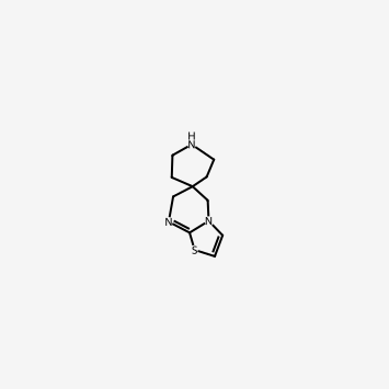 C1=CN2CC3(CCNCC3)CN=C2S1